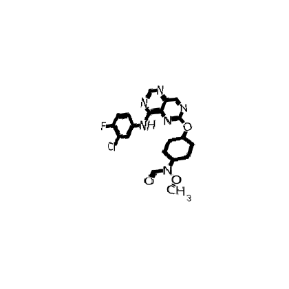 CON(C=O)C1CCC(Oc2ncc3ncnc(Nc4ccc(F)c(Cl)c4)c3n2)CC1